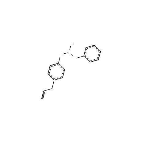 C=CCc1ccc(OP(O)Oc2ccccc2)cc1